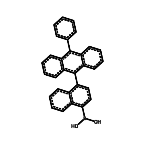 OB(O)c1ccc(-c2c3ccccc3c(-c3ccccc3)c3ccccc23)c2ccccc12